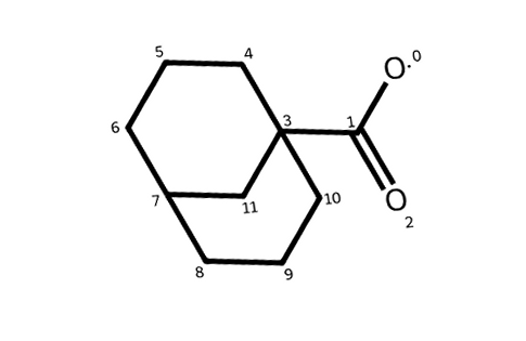 [O]C(=O)C12CCCC(CCC1)C2